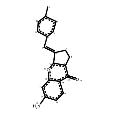 Cc1ccc(C=C2CCc3c2oc2cc(N)ccc2c3=O)cc1